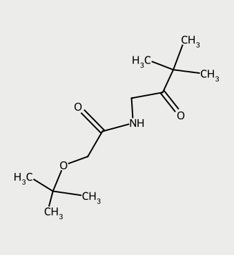 CC(C)(C)OCC(=O)NCC(=O)C(C)(C)C